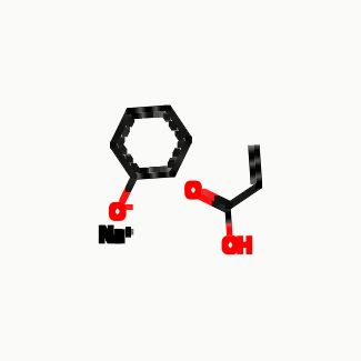 C=CC(=O)O.[Na+].[O-]c1ccccc1